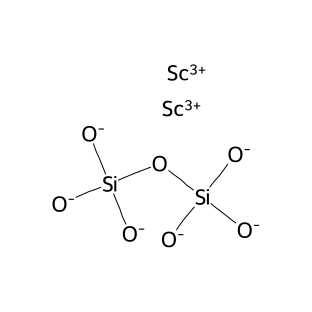 [O-][Si]([O-])([O-])O[Si]([O-])([O-])[O-].[Sc+3].[Sc+3]